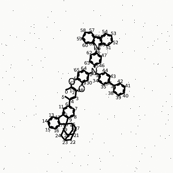 CC1=C(/C=C(\C)c2ccc3c(c2)-c2ccccc2C32C3CC4CC(C3)CC2C4)Oc2cc(N(c3ccc(-c4ccccc4)cc3)c3ccc(-n4c5ccccc5c5ccccc54)cc3)ccc2O1